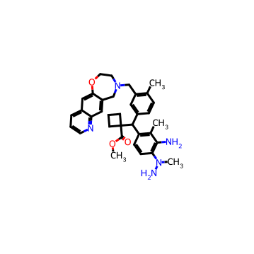 COC(=O)C1(C(c2ccc(C)c(CN3CCOc4cc5cccnc5cc4C3)c2)c2ccc(N(C)N)c(N)c2C)CCC1